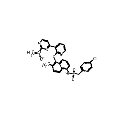 Cc1ccc2c(NS(=O)(=O)Cc3ccc(Cl)cc3)cccc2c1Oc1ncccc1-c1ccnc([S+](C)[O-])n1